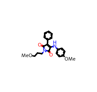 COCCCN1C(=O)C(Nc2ccc(OC)cc2)=C(c2ccccc2)C1=O